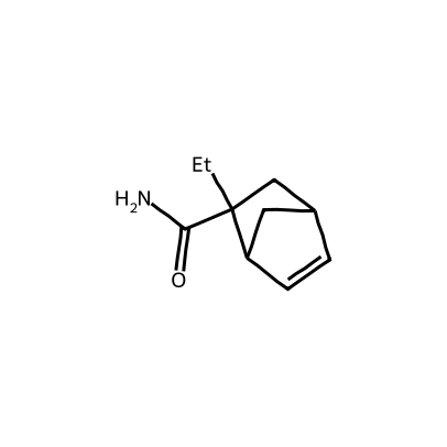 CCC1(C(N)=O)CC2C=CC1C2